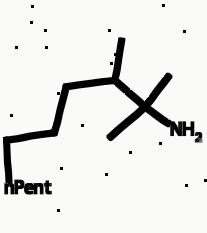 CCCCCCCCC(C)C(C)(C)N